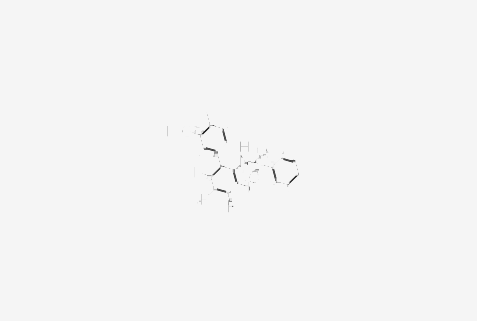 Cc1ccc(-c2c(F)c(F)c(F)c(F)c2NS(=O)(=O)c2ccccc2)cc1C(F)(F)F